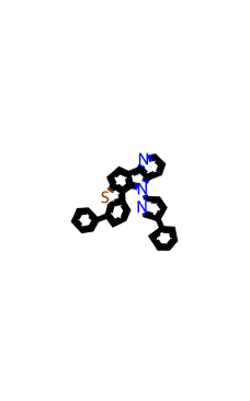 c1ccc(-c2ccc(-n3c4cccnc4c4ccc5sc6c(-c7ccccc7)cccc6c5c43)nc2)cc1